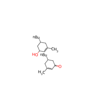 CCCCC1CC(=O)C=C(C)C1.CCCCC1CC(C)=CC(O)C1